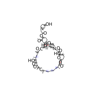 CO[C@H]1C[C@@H]2CC[C@@H](C)[C@@](O)(O2)C(=O)C(=O)N2CCCC3[C@H]2C(=O)O[C@@H](CC(=O)[C@H](C)/C=C(\C)[C@@H](O)[C@@H](OC)C(=O)[C@H](C)C[C@H](C)/C=C/C=C/C=C/1C)[C@H]3C[C@@H]1CC[C@@H](OC(=O)CN2CC[C@@H](O)C2)[C@H](OC)C1